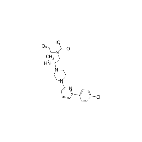 CNC(CN(CC=O)C(=O)O)N1CCN(c2cccc(-c3ccc(Cl)cc3)n2)CC1